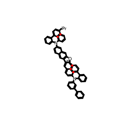 CC(C)c1ccc(-c2ccccc2N(c2ccccc2)c2ccc3cc4c(cc3c2)oc2cc3cc(N(c5cccc(-c6ccccc6)c5)c5ccccc5-c5ccc(C(C)C)cc5)ccc3cc24)cc1